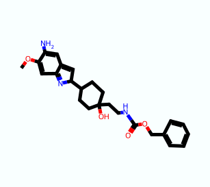 COc1cc2c(cc1N)=CC(C1CCC(O)(CCNC(=O)OCc3ccccc3)CC1)N=2